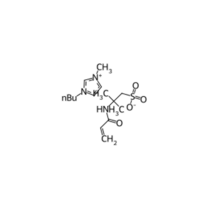 C=CC(=O)NC(C)(C)CS(=O)(=O)[O-].CCCCn1cc[n+](C)c1